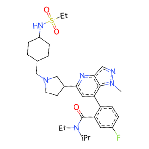 CCN(C(=O)c1cc(F)ccc1-c1cc(C2CCN(CC3CCC(NS(=O)(=O)CC)CC3)C2)nc2cnn(C)c12)C(C)C